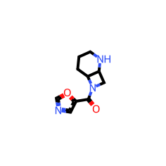 O=C(c1cnco1)N1CC2NCCCC21